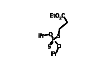 CCOC(=O)CCSP(=S)(OC(C)C)OC(C)C